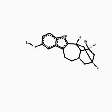 CCOc1ccc2[nH]c3c(c2c1)CCN1C[C@H]2C[C@H](CC)C1[C@H]3C2